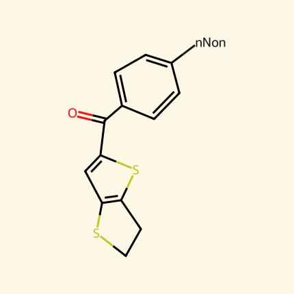 CCCCCCCCCc1ccc(C(=O)c2cc3c(s2)CCS3)cc1